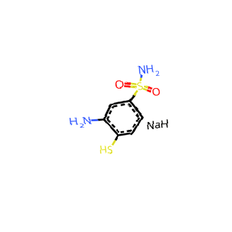 Nc1cc(S(N)(=O)=O)ccc1S.[NaH]